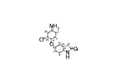 Nc1ccc(Oc2ccc3c(c2)CC(=O)N3)c(Cl)c1